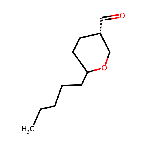 CCCCCC1CC[C@H](C=O)CO1